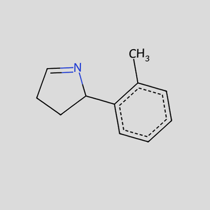 Cc1ccccc1C1CCC=N1